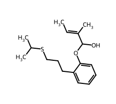 CC=C(C)C(O)Oc1ccccc1CCCSC(C)C